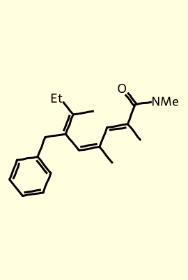 CC/C(C)=C(/C=C(C)\C=C(/C)C(=O)NC)Cc1ccccc1